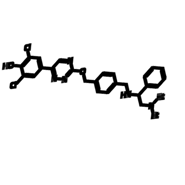 CCN(CC)CC(NCc1ccc(COc2ncc(-c3cc(Cl)c(O)c(Cl)c3)nn2)cc1)c1ccccc1